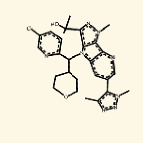 Cc1nnn(C)c1-c1cnc2c3c(c(C(C)(C)O)nn3C)n(C(c3ccc(Cl)cn3)C3CCOCC3)c2c1